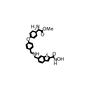 COC(=O)[C@@H](N)C1C=CC(Oc2ccc(CNCc3ccc4cc(C(=O)NO)sc4c3)cc2)=CC1